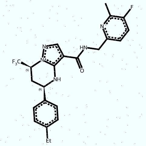 CCc1ccc([C@H]2C[C@@H](C(F)(F)F)n3ncc(C(=O)NCc4ccc(F)c(C)n4)c3N2)cc1